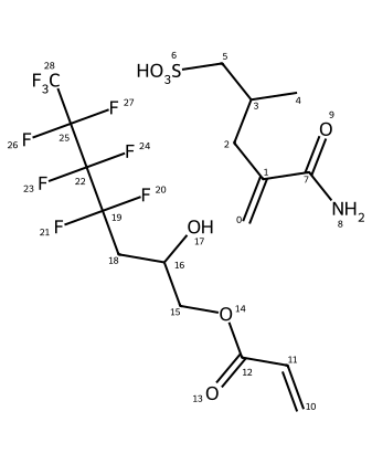 C=C(CC(C)CS(=O)(=O)O)C(N)=O.C=CC(=O)OCC(O)CC(F)(F)C(F)(F)C(F)(F)C(F)(F)F